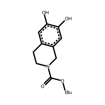 CC(C)(C)OC(=O)N1CCc2cc(O)c(O)cc2C1